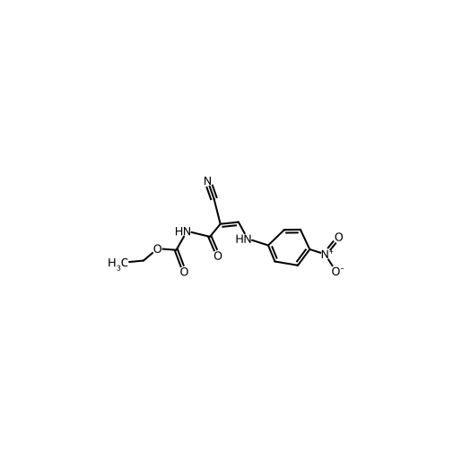 CCOC(=O)NC(=O)/C(C#N)=C\Nc1ccc([N+](=O)[O-])cc1